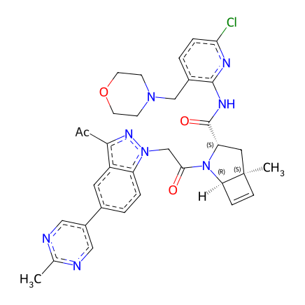 CC(=O)c1nn(CC(=O)N2[C@H](C(=O)Nc3nc(Cl)ccc3CN3CCOCC3)C[C@@]3(C)C=C[C@@H]23)c2ccc(-c3cnc(C)nc3)cc12